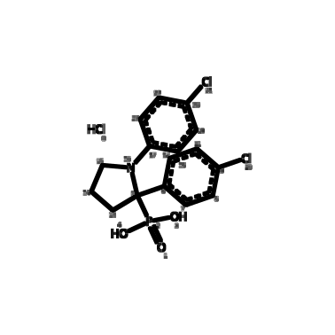 Cl.O=P(O)(O)C1(c2ccc(Cl)cc2)CCCN1c1ccc(Cl)cc1